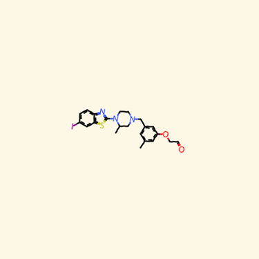 Cc1cc(CN2CCN(c3nc4ccc(I)cc4s3)C(C)C2)cc(OCC=O)c1